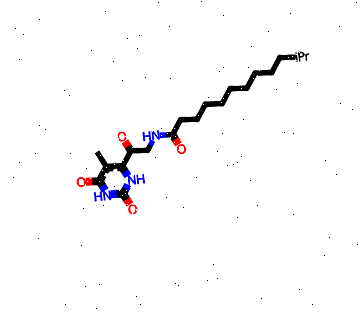 Cc1c(C(=O)CNC(=O)CCCCCCCCCC(C)C)[nH]c(=O)[nH]c1=O